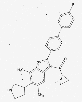 Cc1cc2c(nc(-c3ccc(-c4ccc(F)cc4)cc3)n2C(=O)C2CC2)c(C)c1C1CCNC1